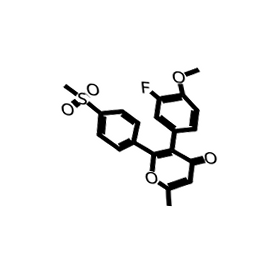 COc1ccc(-c2c(-c3ccc(S(C)(=O)=O)cc3)oc(C)cc2=O)cc1F